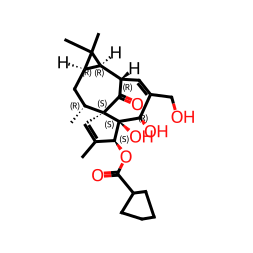 CC1=C[C@]23C(=O)[C@@H](C=C(CO)[C@@H](O)[C@]2(O)[C@H]1OC(=O)C1CCCC1)[C@H]1[C@@H](C[C@H]3C)C1(C)C